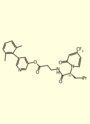 Cc1cccc(C)c1-c1cncc(OC(=O)CCNC(=O)[C@H](CC(C)C)n2ccc(C(F)(F)F)cc2=O)c1